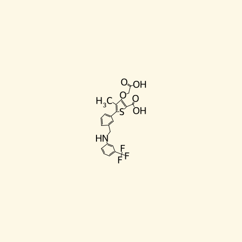 Cc1c(-c2cccc(CNc3cccc(C(F)(F)F)c3)c2)sc(C(=O)O)c1OCC(=O)O